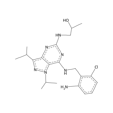 CC(O)CNc1nc(NCc2c(N)cccc2Cl)c2c(n1)c(C(C)C)nn2C(C)C